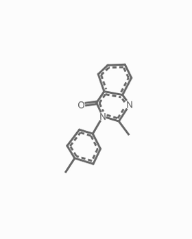 Cc1ccc(-n2c(C)nc3ccccc3c2=O)cc1